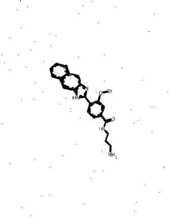 CCOc1cc(C(=O)NCCCN)ccc1-c1nc2cc3ccccc3cc2[nH]1